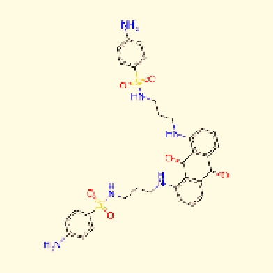 Nc1ccc(S(=O)(=O)NCCCNc2cccc3c2C(=O)c2c(NCCCNS(=O)(=O)c4ccc(N)cc4)cccc2C3=O)cc1